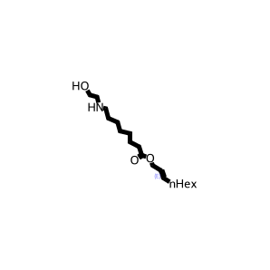 CCCCCC/C=C/COC(=O)CCCCCCCNCCO